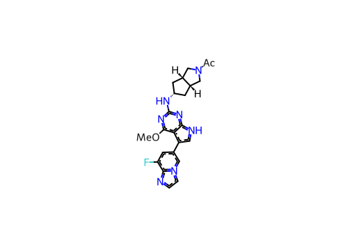 COc1nc(N[C@@H]2C[C@@H]3CN(C(C)=O)C[C@@H]3C2)nc2[nH]cc(-c3cc(F)c4nccn4c3)c12